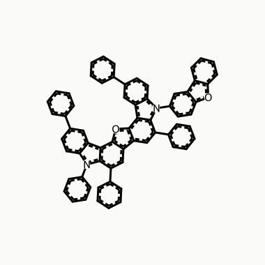 c1ccc(-c2ccc3c(c2)c2c4oc5c(cc(-c6ccccc6)c6c5c5cc(-c7ccccc7)ccc5n6-c5ccc6oc7ccccc7c6c5)c4cc(-c4ccccc4)c2n3-c2ccccc2)cc1